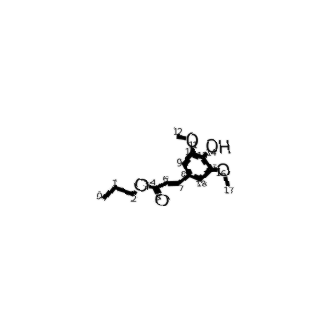 CCCOC(=O)C=Cc1cc(OC)c(O)c(OC)c1